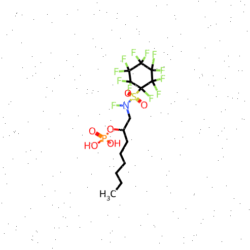 CCCCCCC(CN(F)S(=O)(=O)C1(F)C(F)(F)C(F)(F)C(F)(F)C(F)(F)C1(F)F)OP(=O)(O)O